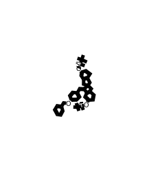 CC(C)(C)[Si](C)(C)Oc1ccc2c(c1)CC1(C2)Cc2ccc(O[Si](C)(C)C(C)(C)C)cc2/C1=C\c1ccc(OCc2ccccc2)cc1